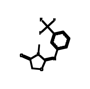 CN1C(=O)COC1=Nc1cccc(C(F)(F)F)c1